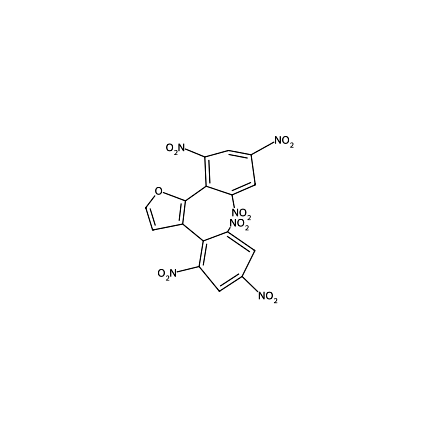 O=[N+]([O-])c1cc([N+](=O)[O-])c(-c2ccoc2-c2c([N+](=O)[O-])cc([N+](=O)[O-])cc2[N+](=O)[O-])c([N+](=O)[O-])c1